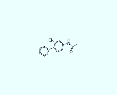 CC(=O)Nc1ccc(-c2ccccc2)c(Cl)c1